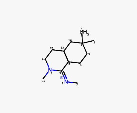 BC1(C)CCC2/C(=N\C)N(C)CCC2C1